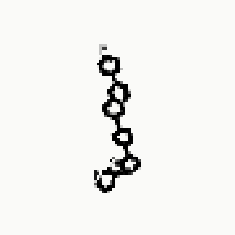 Fc1ccc(-c2ccc3cc(-c4ccc(-c5cccc6c5sc5ncccc56)cc4)ccc3c2)cc1